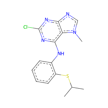 CC(C)Sc1ccccc1Nc1nc(Cl)nc2ncn(C)c12